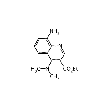 CCOC(=O)c1cnc2c(N)cccc2c1N(C)C